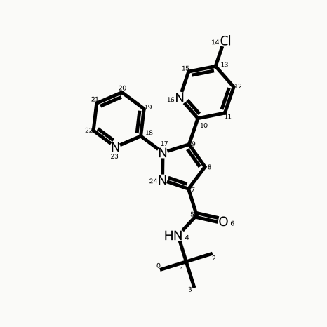 CC(C)(C)NC(=O)c1cc(-c2ccc(Cl)cn2)n(-c2ccccn2)n1